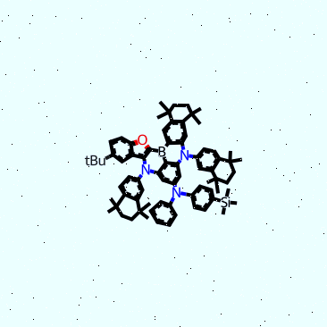 CC(C)(C)c1ccc2oc3c(c2c1)N(c1ccc2c(c1)C(C)(C)CCC2(C)C)c1cc(N(c2ccccc2)c2ccc([Si](C)(C)C)cc2)cc2c1B3c1cc3c(cc1N2c1ccc2c(c1)C(C)(C)CCC2(C)C)C(C)(C)CCC3(C)C